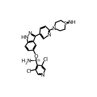 N=S1CCN(c2ccc(-c3n[nH]c4ccc(O[C@H](N)c5c(Cl)cncc5Cl)cc34)cn2)CC1